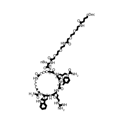 CCCCCCCCCCCCCC(=O)NCCOCCOCC(=O)NCCOCCOCC(=O)N[C@@H](CCCC)C(=O)N[C@H]1CCCC(=O)NCCCC[C@@H](C(N)=O)NC(=O)[C@H](Cc2c[nH]c3ccccc23)NC(=O)[C@H](CCCNC(=N)N)NC(=O)[C@@H](Cc2ccccc2)NC(=O)[C@H](CCCNC(N)=O)NC1=O